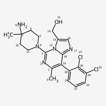 Cc1nc(N2CCC(C)(N)CC2)n2c(CO)cnc2c1-c1cccc(Cl)c1Cl